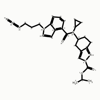 CC(C)OC(=O)n1cc2c(n1)CCC(N(C(=O)c1cccc3c1cnn3CCCN=[N+]=[N-])C1CC1)C2